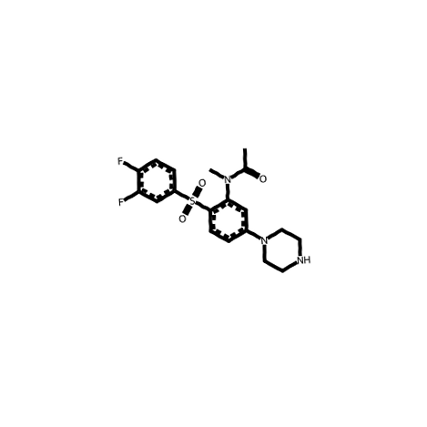 CC(=O)N(C)c1cc(N2CCNCC2)ccc1S(=O)(=O)c1ccc(F)c(F)c1